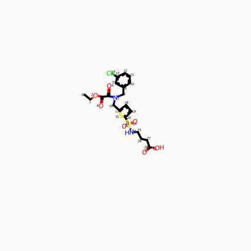 CCOC(=O)C(=O)N(Cc1cccc(Cl)c1)Cc1ccc(S(=O)(=O)NCCCC(=O)O)s1